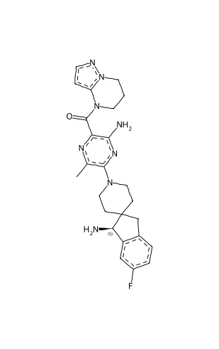 Cc1nc(C(=O)N2CCCn3nccc32)c(N)nc1N1CCC2(CC1)Cc1ccc(F)cc1[C@H]2N